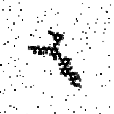 Cc1c(COc2cc(OCc3cncc(C#N)c3)c(CNC[C@@H](O)CC(=O)O)cc2Cl)cccc1-c1cccc(N(N)/C=C(\N)CN)c1C